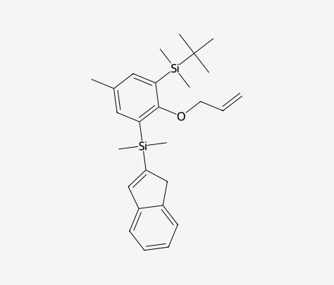 C=CCOc1c([Si](C)(C)C2=Cc3ccccc3C2)cc(C)cc1[Si](C)(C)C(C)(C)C